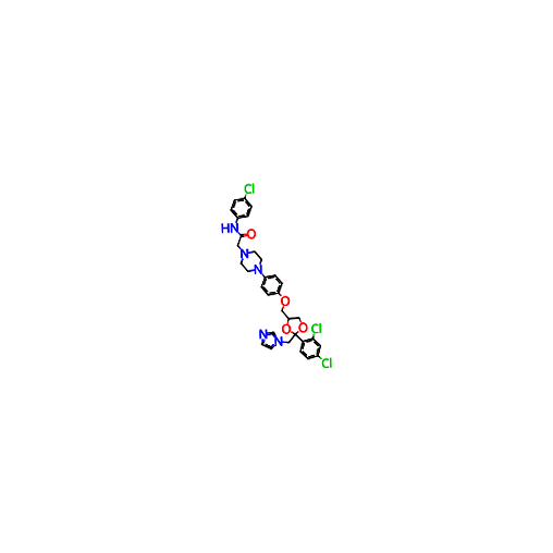 O=C(CN1CCN(c2ccc(OCC3COC(Cn4ccnc4)(c4ccc(Cl)cc4Cl)O3)cc2)CC1)Nc1ccc(Cl)cc1